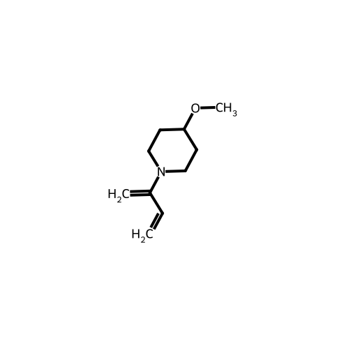 C=CC(=C)N1CCC(OC)CC1